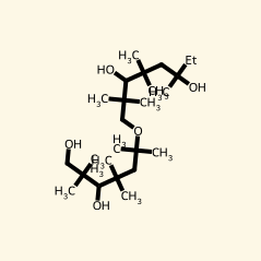 CCC(C)(O)CC(C)(C)C(O)C(C)(C)COC(C)(C)CC(C)(C)C(O)C(C)(C)CO